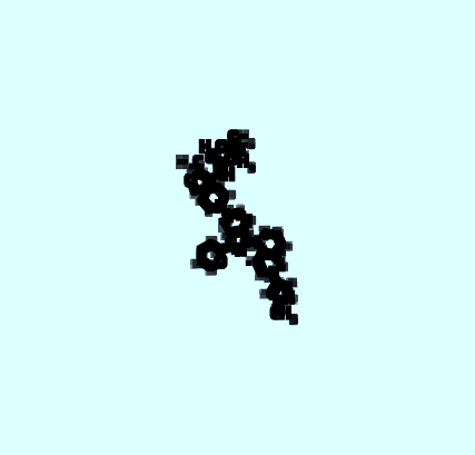 C[C@@H]1OCC2(CCN(c3cnc4c(N5CCCc6nc(-c7cnn(C)c7)ccc65)nn(C5CCCCO5)c4n3)CC2)[C@@H]1NC(=O)OC(C)(C)C